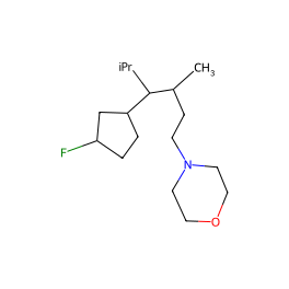 CC(C)C(C(C)CCN1CCOCC1)C1CCC(F)C1